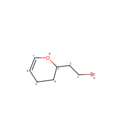 BrCCC1CCC=CO1